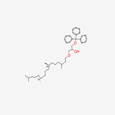 CC(C)CCC[C@@H](C)CCC[C@@H](C)CCCC(C)CCOCC(O)COC(c1ccccc1)(c1ccccc1)c1ccccc1